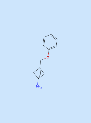 NC12CC(COc3ccccc3)(C1)C2